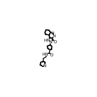 O=C(NCCc1cccnc1)c1ccc(-n2[nH]c3c(nnc4ccccc43)c2=O)cc1